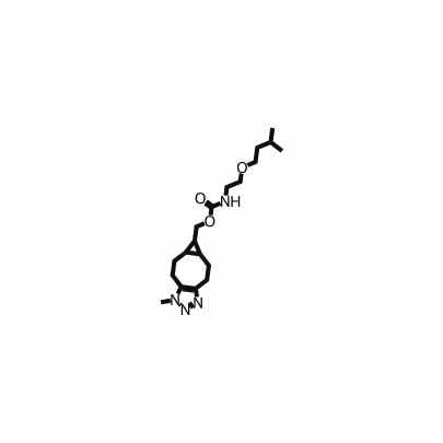 CC(C)CCOCCNC(=O)OCC1C2CCc3nnn(C)c3CCC21